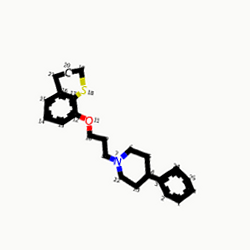 c1ccc(C2CCN(CCCOc3cccc4c3SCCC4)CC2)cc1